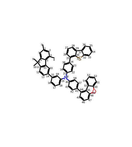 Cc1cc(C)c2c(c1)C(C)(C)c1ccc(-c3cccc(N(c4ccc(-c5cccc6c5sc5ccccc56)cc4)c4ccc(-c5cccc6oc7ccccc7c56)cc4)c3)cc1-2